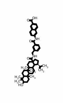 C=C(C)[C@@H]1CCC2(C(=O)NCc3cccc(C(=O)Nc4ccc5cc(C(=O)O)ccc5c4)c3)CC[C@]3(C)C(CCC4C5(C)CCC(O)C(C)(C)C5CCC43C)C12